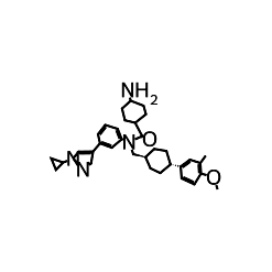 COc1ccc([C@H]2CC[C@H](CN(C(=O)C3CCC(N)CC3)c3cccc(-c4cnn(C5CC5)c4)c3)CC2)cc1C